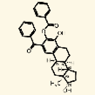 C[C@]12CC[C@@H]3c4cc(C(=O)c5ccccc5)c(OC(=O)c5ccccc5)c(O)c4CC[C@H]3[C@@H]1CC[C@@H]2O